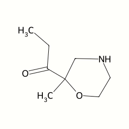 CCC(=O)C1(C)CNCCO1